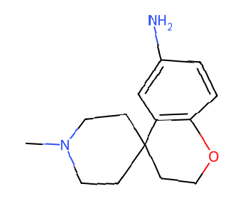 CN1CCC2(CCOc3ccc(N)cc32)CC1